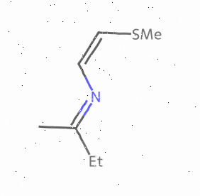 CC/C(C)=N/C=C\SC